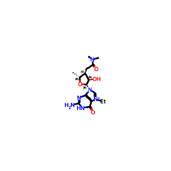 CC[n+]1cn([C@@H]2O[C@H](C)[C@@H](CC(=O)N(C)C)[C@H]2O)c2nc(N)[nH]c(=O)c21